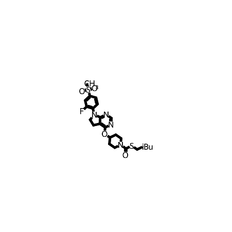 CCC(C)CSC(=O)N1CCC(Oc2ncnc3c2CCN3c2ccc(S(C)(=O)=O)cc2F)CC1